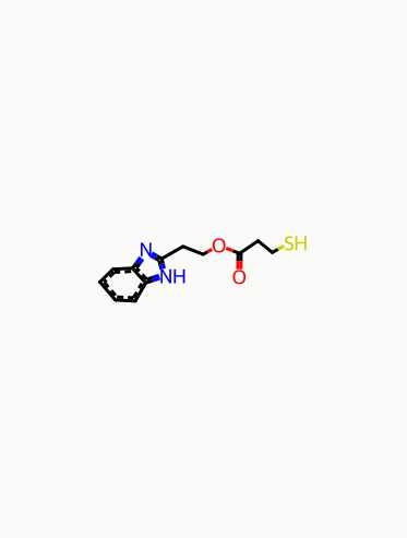 O=C(CCS)OCCc1nc2ccccc2[nH]1